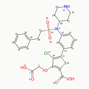 O=C(O)COc1c(C(=O)O)sc(-c2cccc(N(C3CCNCC3)S(=O)(=O)CCc3ccccc3)c2)c1Cl